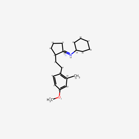 COc1ccc(CCC2CCC/C2=N\C2CCCCC2)c(C)c1